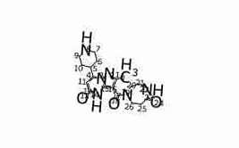 Cc1nn2c(C3CCNCC3)cc(=O)[nH]c2c1C(=O)N1CCNC(=O)CC1